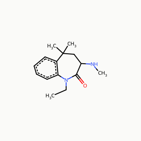 CCN1C(=O)C(NC)CC(C)(C)c2ccccc21